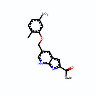 COC(=O)c1cc2cc(COc3cc([N+](=O)[O-])ccc3C)c[nH]c-2n1